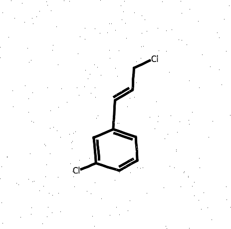 ClCC=Cc1cccc(Cl)c1